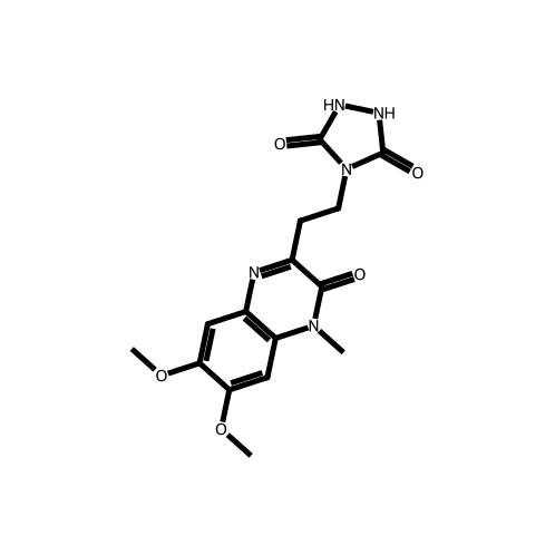 COc1cc2nc(CCn3c(=O)[nH][nH]c3=O)c(=O)n(C)c2cc1OC